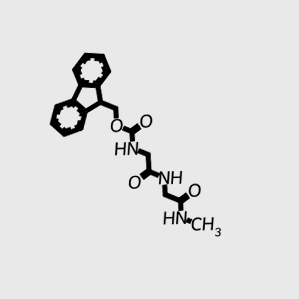 CNC(=O)CNC(=O)CNC(=O)OCC1c2ccccc2-c2ccccc21